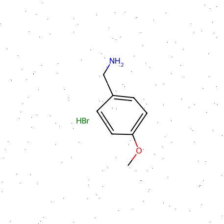 Br.COc1ccc(CN)cc1